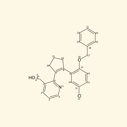 O=C(O)c1cccnc1C1=C(c2cc(Cl)ccc2OCc2ccccc2)CCC1